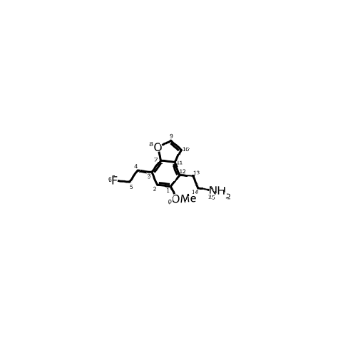 COc1cc(CCF)c2occc2c1CCN